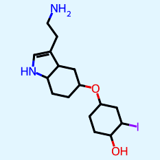 NCCC1=CNC2CCC(OC3CCC(O)C(I)C3)CC12